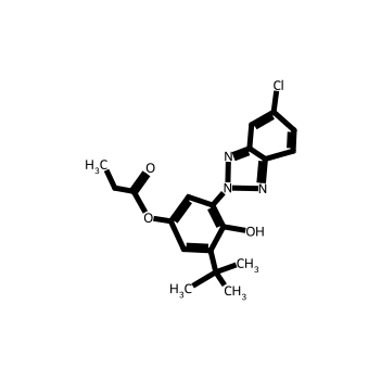 CCC(=O)Oc1cc(-n2nc3ccc(Cl)cc3n2)c(O)c(C(C)(C)C)c1